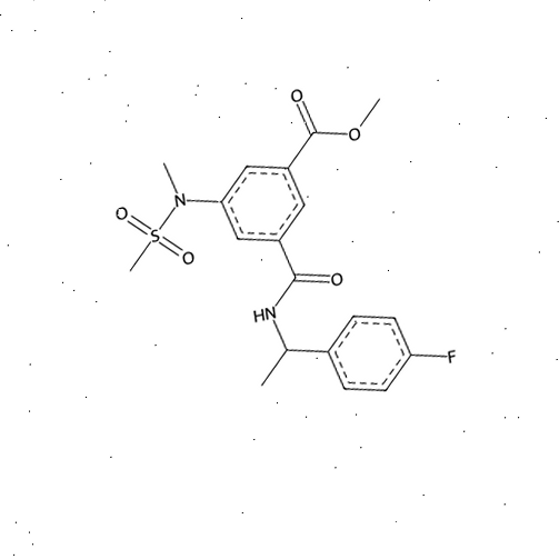 COC(=O)c1cc(C(=O)NC(C)c2ccc(F)cc2)cc(N(C)S(C)(=O)=O)c1